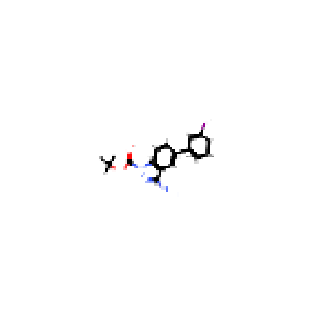 CC(C)(C)OC(=O)n1nc(N)c2cc(-c3cccc(I)c3)ccc21